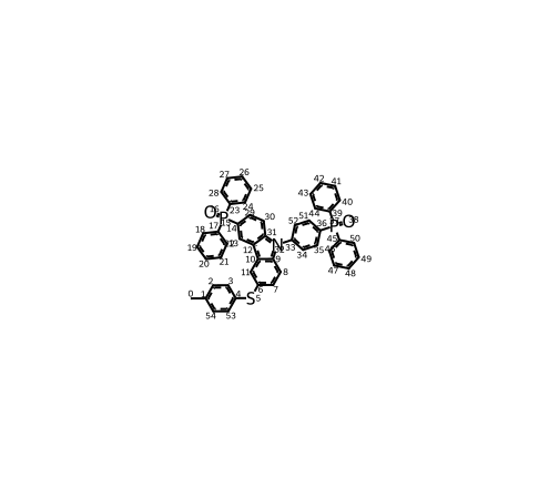 Cc1ccc(Sc2ccc3c(c2)c2cc(P(=O)(c4ccccc4)c4ccccc4)ccc2n3-c2ccc(P(=O)(c3ccccc3)c3ccccc3)cc2)cc1